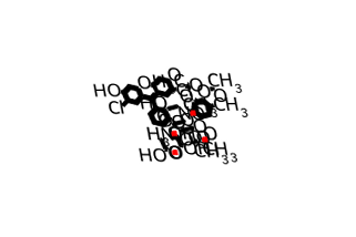 CC(=O)Oc1c(C)cc(OC(OC(C)=O)(OC(C)=O)C(C)(OC(C)=O)Oc2cc(-c3c4cc(Cl)c(=O)cc-4oc4cc(O)c(Cl)cc34)ccc2N(CC(=O)O)CC(=O)O)c(N(CC(=O)O)CC(=O)O)c1OC(C)=O